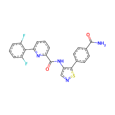 NC(=O)c1ccc(-c2sncc2NC(=O)c2cccc(-c3c(F)cccc3F)n2)cc1